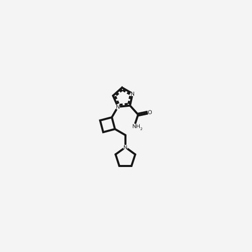 NC(=O)c1n[c]cn1C1CCC1CN1CCCC1